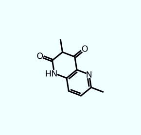 Cc1ccc2c(n1)C(=O)C(C)C(=O)N2